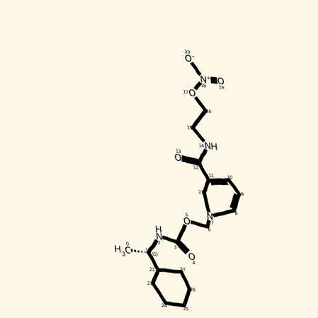 C[C@H](NC(=O)OCN1C=CC=C(C(=O)NCCO[N+](=O)[O-])C1)C1CCCCC1